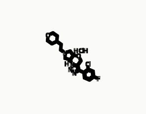 Cl.Fc1ccc(-c2nnn3c2CO[C@@H]2CN(CCC4CCOCC4)C[C@H]23)c(Cl)c1